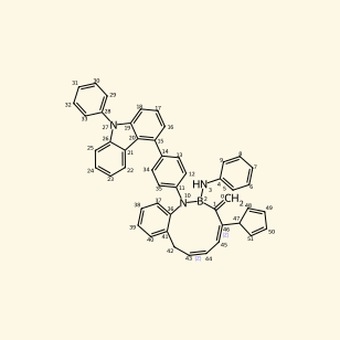 C=C1B(Nc2ccccc2)N(c2ccc(-c3cccc4c3c3ccccc3n4-c3ccccc3)cc2)c2ccccc2C/C=C\C=C/1C1C=CC=C1